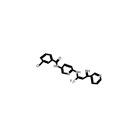 N=C(/C=C(\Nc1ccc(NC(=O)c2cccc(Cl)c2)cn1)C(F)(F)F)c1cccnc1